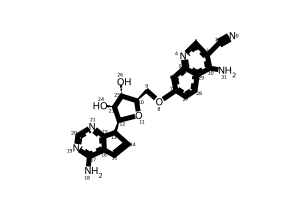 N#Cc1cnc2cc(OC[C@H]3O[C@@H](C4C=Cc5c(N)ncnc54)[C@H](O)[C@@H]3O)ccc2c1N